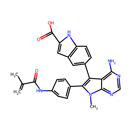 C=C(C)C(=O)Nc1ccc(-c2c(-c3ccc4[nH]c(C(=O)O)cc4c3)c3c(N)ncnc3n2C)cc1